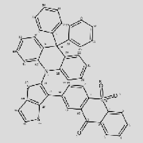 O=C1c2ccccc2S(=O)(=O)c2ccc(-c3c(N4c5ccccc5C(c5ccccc5)(c5ccccc5)c5ccccc54)sc4ccsc34)cc21